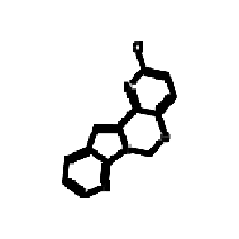 Clc1ccc2c(n1)-c1cc3cccnc3n1CO2